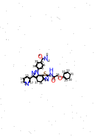 CN(C)C(=O)c1ccc(-n2nc(-c3cccnc3)c3c2-c2sc(NC(=O)COC4=CCCC=C4)nc2CC3)cc1